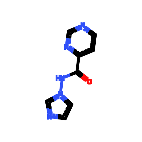 O=C(Nn1ccnc1)c1ccncn1